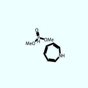 C1=CC=CNC=C1.CO[PH](=O)OC